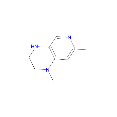 Cc1cc2c(cn1)NCCN2C